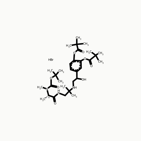 Br.C[C@@H](C(=O)NCC(C)(C)NCC(O)c1ccc(OC(=O)C(C)(C)C)c(OC(=O)C(C)(C)C)c1)N(C)C(=O)OC(C)(C)C